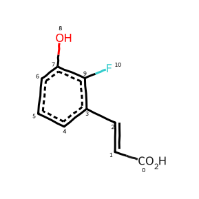 O=C(O)/C=C/c1cccc(O)c1F